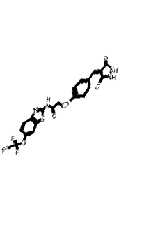 O=C(COc1ccc(C=C2C(=O)NNC2=O)cc1)Nc1nc2ccc(OC(F)(F)F)cc2s1